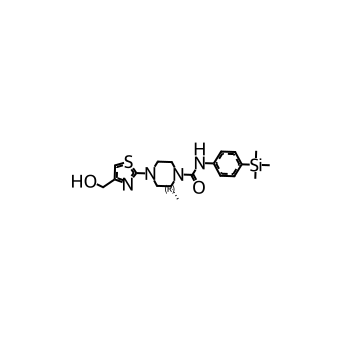 C[C@@H]1CN(c2nc(CO)cs2)CCN1C(=O)Nc1ccc([Si](C)(C)C)cc1